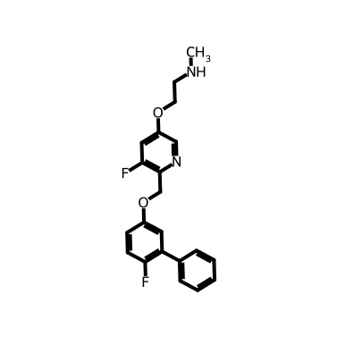 CNCCOc1cnc(COc2ccc(F)c(-c3ccccc3)c2)c(F)c1